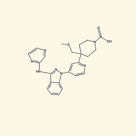 COCC1(c2cc(-n3nc(Nc4cnccn4)c4ccccc43)ccn2)CCN(C(=O)O)CC1